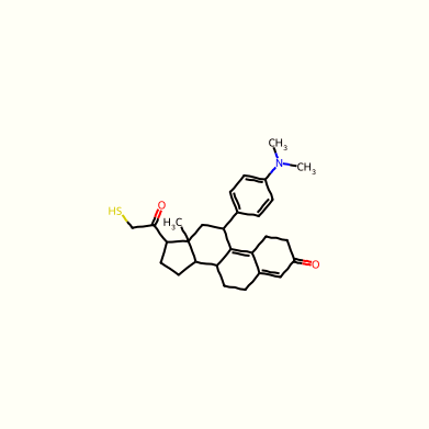 CN(C)c1ccc(C2CC3(C)C(C(=O)CS)CCC3C3CCC4=CC(=O)CCC4=C23)cc1